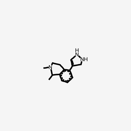 CC1c2cccc(C3=CNNC3)c2CCN1C